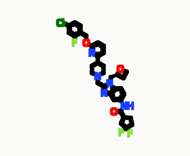 O=C(Nc1ccc2c(c1)nc(CN1CCC(c3cccc(OCc4ccc(Cl)cc4F)n3)CC1)n2C[C@@H]1CCO1)C1CCC(F)(F)C1